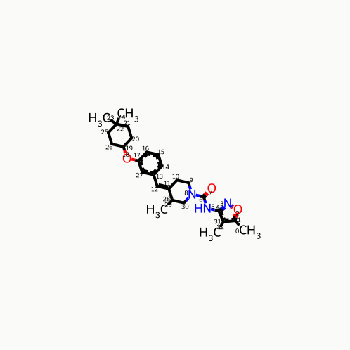 Cc1onc(NC(=O)N2CC/C(=C\c3cccc(OC4CCC(C)(C)CC4)c3)C(C)C2)c1C